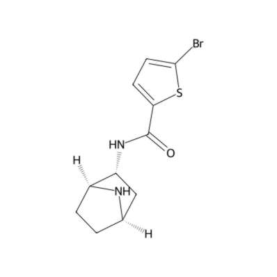 O=C(N[C@@H]1C[C@H]2CC[C@@H]1N2)c1ccc(Br)s1